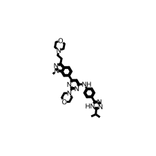 CC(C)c1nnc(-c2ccc(Nc3cc(-c4ccc5c(CCN6CCOCC6)nn(C)c5c4)nc(N4CCOCC4)n3)cc2)[nH]1